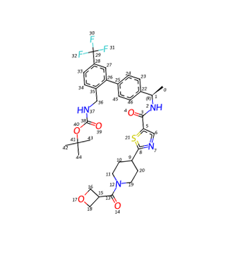 C[C@@H](NC(=O)c1cnc(C2CCN(C(=O)C3COC3)CC2)s1)c1ccc(-c2cc(C(F)(F)F)ccc2CNC(=O)OC(C)(C)C)cc1